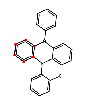 Cc1ccccc1N(c1ccccc1)c1ccccc1N(c1ccccc1)c1ccccc1